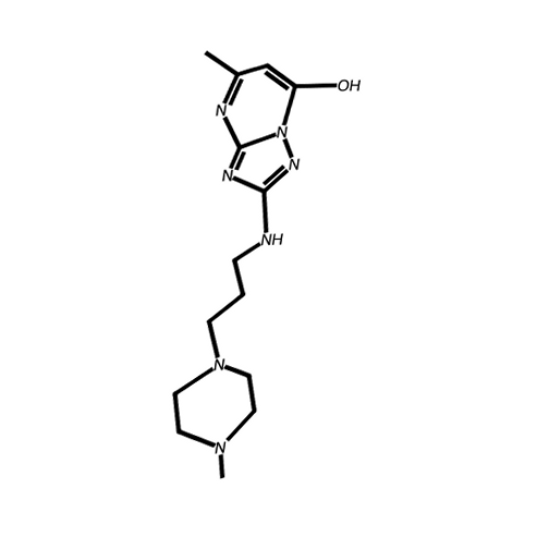 Cc1cc(O)n2nc(NCCCN3CCN(C)CC3)nc2n1